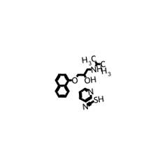 CC(C)NCC(O)COc1cccc2ccccc12.N#CS.c1ccncc1